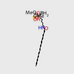 B[C@@H]1O[C@H](COC)C(OP(O)(=S)OC)[C@@H]1CCCCCCCNC(=O)C#CC#CC#CC#CC#CC#CC#CC#CC#CC#CC